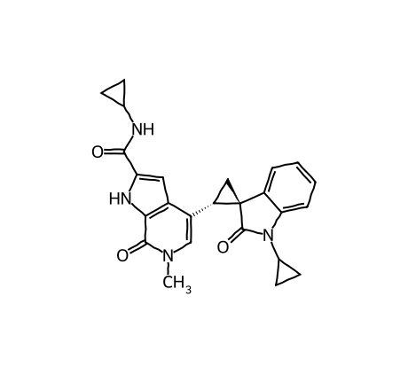 Cn1cc([C@@H]2C[C@@]23C(=O)N(C2CC2)c2ccccc23)c2cc(C(=O)NC3CC3)[nH]c2c1=O